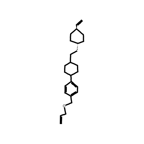 C=CCOCc1ccc(C2CCC(CC[C@H]3CC[C@H](C=C)CC3)CC2)cc1